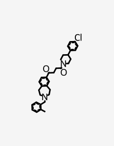 Cc1ccccc1CN1CCc2ccc(C(=O)CCC(=O)N3CCC(c4ccc(Cl)cc4)CC3)cc2CC1